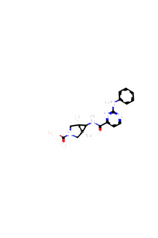 O=C(NC1[C@H]2CN(C(=O)O)C[C@@H]12)c1ccnc(Nc2ccccc2)n1